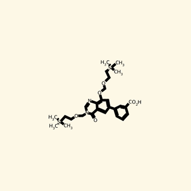 C[Si](C)(C)CCOCOc1cc(-c2cccc(C(=O)O)c2)cc2c(=O)n(COCC[Si](C)(C)C)cnc12